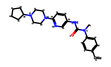 COc1ccc(N(C)C(=O)Nc2ccc(N3CCN(C4CCCC4)CC3)nc2)cc1